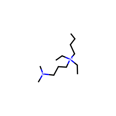 CCCC[N+](CC)(CC)CCCN(C)C